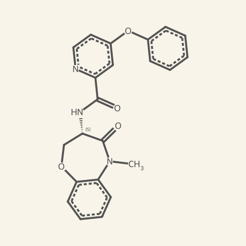 CN1C(=O)[C@@H](NC(=O)c2cc(Oc3ccccc3)ccn2)COc2ccccc21